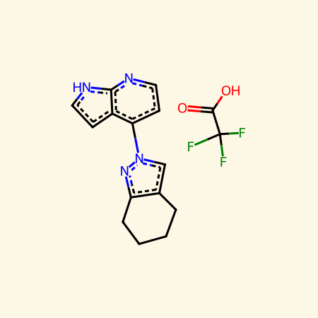 O=C(O)C(F)(F)F.c1cc(-n2cc3c(n2)CCCC3)c2cc[nH]c2n1